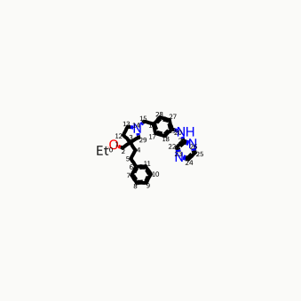 CCOCC1(CCc2ccccc2)CCN(Cc2ccc(Nc3cnccn3)cc2)C1